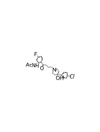 CC(=O)Nc1cc(F)ccc1C(=O)CCCN1CCC(O)(c2ccc(Cl)cc2)CC1